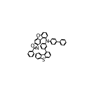 c1ccc(-c2ccc(N(c3cccc(-c4cccc5sc6ccccc6c45)c3)c3cccc4oc5cc6oc(-c7ccccc7)nc6cc5c34)cc2)cc1